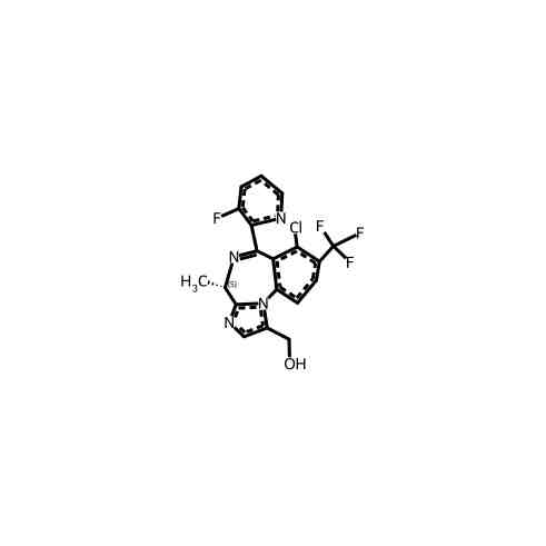 C[C@@H]1N=C(c2ncccc2F)c2c(ccc(C(F)(F)F)c2Cl)-n2c(CO)cnc21